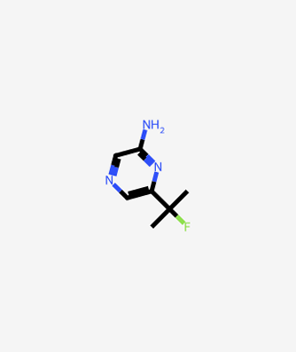 CC(C)(F)c1cncc(N)n1